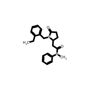 CCc1ccccc1CN1C(=O)CCC1CC(=O)N(C)c1ccccc1